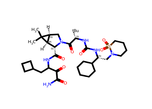 CC(C)(C)[C@H](NC(=O)N[C@H](CN1CCCCS1(=O)=O)C1CCCCC1)C(=O)N1C[C@H]2[C@@H]([C@H]1C(=O)NC(CC1CCC1)C(=O)C(N)=O)C2(C)C